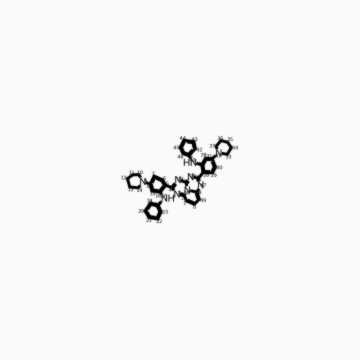 C1=CC2=NC(c3ccc(N4CCCCC4)cc3Nc3ccccc3)=NC3=NC(c4ccc(N5CCCCC5)cc4Nc4ccccc4)=NC(=C1)N23